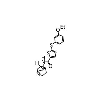 CCOc1cccc(Sc2ccc(C(=O)N[C@H]3CN4CCC3CC4)s2)c1